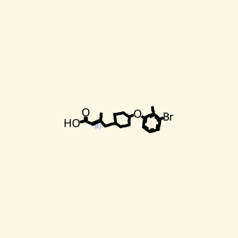 C/C(=C\C(=O)O)CC1CCC(Oc2cccc(Br)c2C)CC1